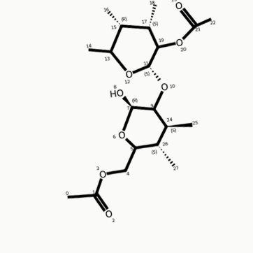 CC(=O)OCC1O[C@@H](O)C(O[C@@H]2OC(C)[C@H](C)[C@H](C)C2OC(C)=O)[C@@H](C)[C@@H]1C